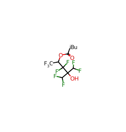 CCC(C)C(=O)OC(C(F)(F)F)C(F)(F)C(O)(C(F)F)C(F)F